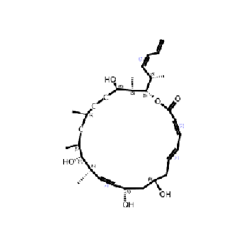 C=C/C=C\[C@H](C)[C@@H]1OC(=O)/C=C\C=C\C[C@@H](O)C[C@H](O)/C=C\[C@H](C)[C@H](O)[C@@H](C)C[C@@H](C)CC[C@@H](O)[C@@H]1C